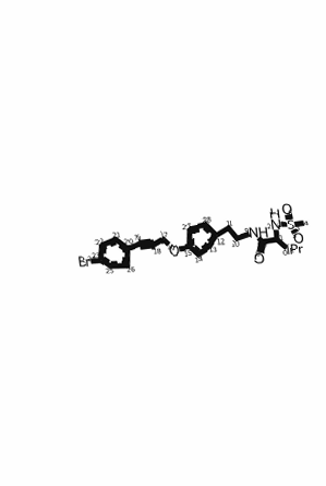 CC(C)C(NS(C)(=O)=O)C(=O)NCCc1ccc(OCC#Cc2ccc(Br)cc2)cc1